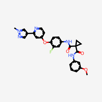 COc1cccc(NC(=O)C2(C(=O)Nc3ccc(Oc4ccnc(-c5cnn(C)c5)c4)c(F)c3)CC2)c1